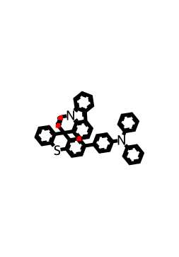 c1ccc(N(c2ccccc2)c2ccc(-c3ccc4c(c3)C3(c5ccccc5S4)c4ccccc4-n4c5ccccc5c5cccc3c54)cc2)cc1